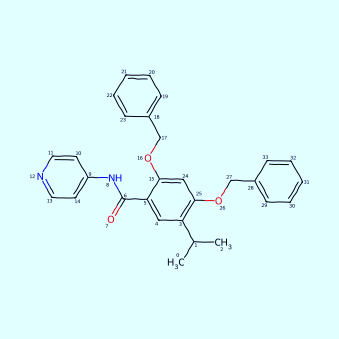 CC(C)c1cc(C(=O)Nc2ccncc2)c(OCc2ccccc2)cc1OCc1ccccc1